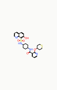 O=C(NC1CCC(NS(=O)(=O)c2c(O)ccc3cccnc23)CC1)c1cccnc1OC1CCSCC1